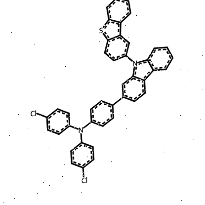 Clc1ccc(N(c2ccc(Cl)cc2)c2ccc(-c3ccc4c5ccccc5n(-c5ccc6sc7ccccc7c6c5)c4c3)cc2)cc1